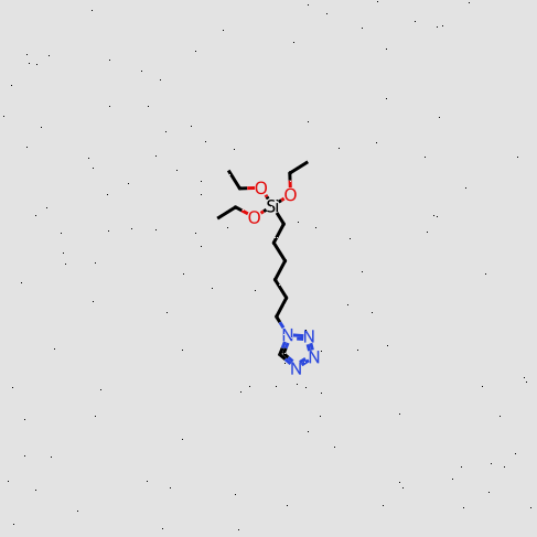 CCO[Si](CCCCCCn1cnnn1)(OCC)OCC